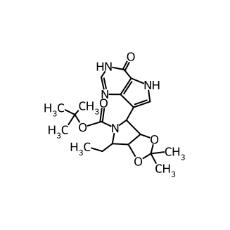 CCC1C2OC(C)(C)OC2C(c2c[nH]c3c(=O)[nH]cnc23)N1C(=O)OC(C)(C)C